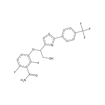 NC(=O)c1c(F)ccc(OC(CO)c2csc(-c3ccc(C(F)(F)F)cc3)n2)c1F